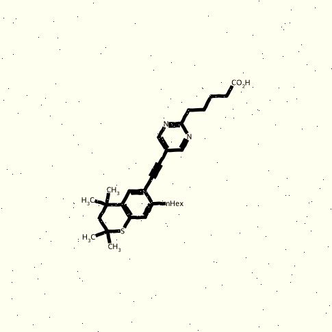 CCCCCCc1cc2c(cc1C#Cc1cnc(CCCCC(=O)O)nc1)C(C)(C)CC(C)(C)S2